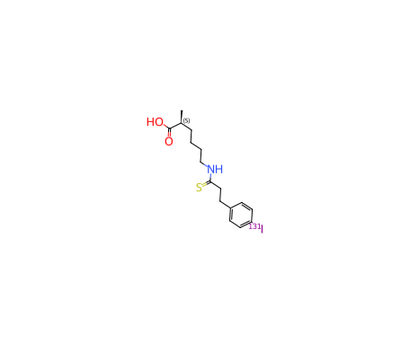 C[C@@H](CCCCNC(=S)CCc1ccc([131I])cc1)C(=O)O